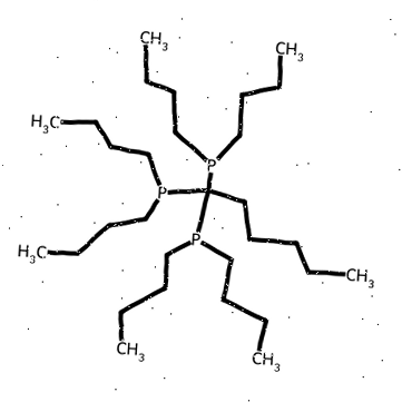 CCCCCC(P(CCCC)CCCC)(P(CCCC)CCCC)P(CCCC)CCCC